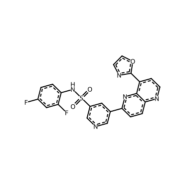 O=S(=O)(Nc1ccc(F)cc1F)c1cncc(-c2ccc3nccc(-c4ncco4)c3n2)c1